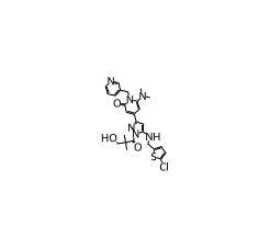 CN(C)c1cc(-c2cc(NCc3ccc(Cl)s3)n(C(=O)C(C)(C)CO)n2)cc(=O)n1Cc1cccnc1